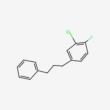 Fc1ccc([CH]CCc2ccccc2)cc1Cl